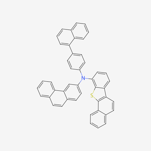 c1ccc2c(-c3ccc(N(c4ccc5ccc6ccccc6c5c4)c4cccc5c4sc4c6ccccc6ccc54)cc3)cccc2c1